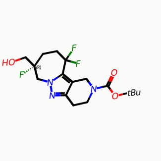 CC(C)(C)OC(=O)N1CCc2nn3c(c2C1)C(F)(F)CC[C@](F)(CO)C3